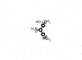 CC(N)(C(=O)O)c1ccc(-c2cc(C(N)=O)cc(-c3ccc(S(N)(=O)=O)cc3)c2)cc1